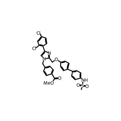 COC(=O)c1ccc(Cn2cc(-c3ccc(Cl)cc3Cl)nc2COc2ccc(-c3ccc(NS(C)(=O)=O)cc3)cc2)cc1